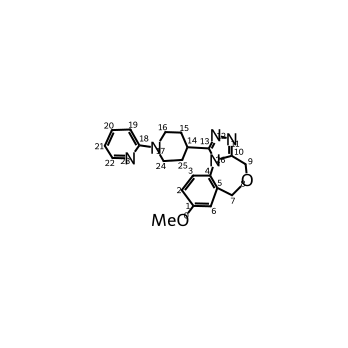 COc1ccc2c(c1)COCc1nnc(C3CCN(c4ccccn4)CC3)n1-2